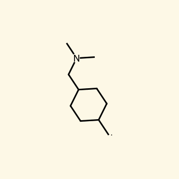 [CH2]C1CCC(CN(C)C)CC1